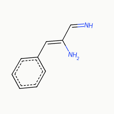 N=CC(N)=Cc1ccccc1